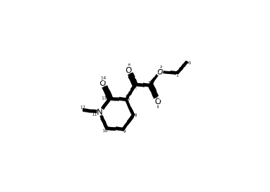 CCOC(=O)C(=O)C1CCCN(C)C1=O